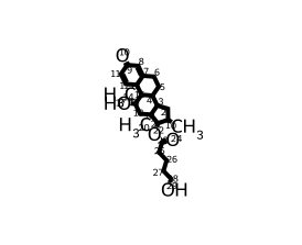 CC1CC2C3CCC4=CC(=O)C=CC4(C)C3C(O)CC2(C)C1OC(=O)CCCCO